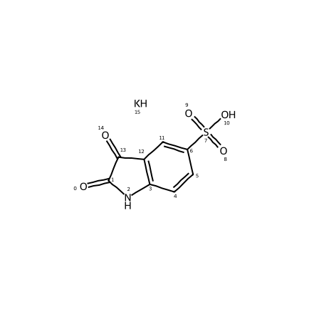 O=C1Nc2ccc(S(=O)(=O)O)cc2C1=O.[KH]